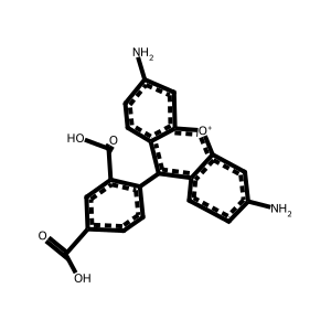 Nc1ccc2c(-c3ccc(C(=O)O)cc3C(=O)O)c3ccc(N)cc3[o+]c2c1